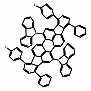 Fc1ccc(-c2ccc(-c3ccccc3)c3c2-c2ccc4c5c(-n6c7ccccc7c7ccccc76)cc6c7c(ccc(c8c(-n9c%10ccccc%10c%10ccccc%109)cc-3c2c48)c75)-c2c(-c3ccccc3)ccc(-c3ccc(F)cc3)c2-6)cc1